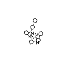 c1ccc(-c2ccc(-c3nc(N4c5ccccc5-c5nccc6c5c4nc4ccccc46)nc4ccccc34)cc2)cc1